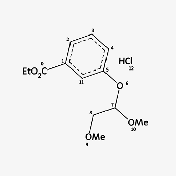 CCOC(=O)c1cccc(OC(COC)OC)c1.Cl